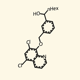 CCCCCCC(O)c1cccc(COc2c(Cl)cc(Cl)c3cccnc23)c1